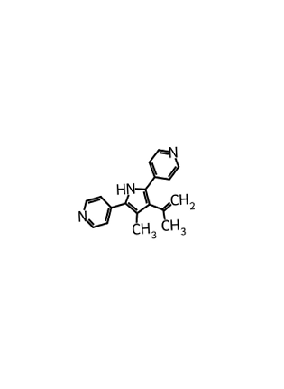 C=C(C)c1c(-c2ccncc2)[nH]c(-c2ccncc2)c1C